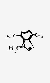 Cc1ccc(C)c2c1ncn2C